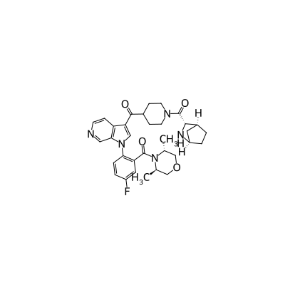 C[C@@H]1COC[C@@H](C)N1C(=O)c1cc(F)ccc1-n1cc(C(=O)C2CCN(C(=O)[C@H]3N[C@@H]4CC[C@H]3C4)CC2)c2ccncc21